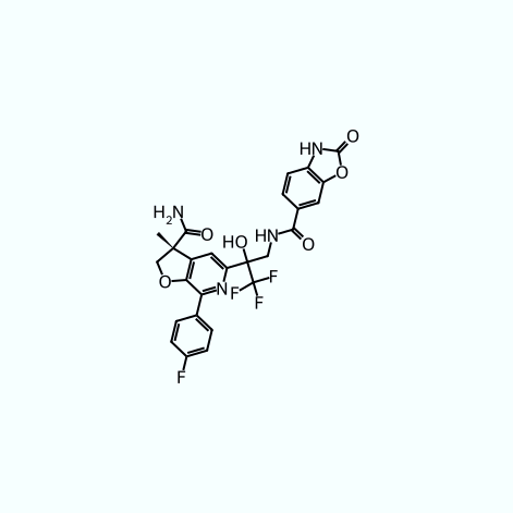 C[C@]1(C(N)=O)COc2c1cc(C(O)(CNC(=O)c1ccc3[nH]c(=O)oc3c1)C(F)(F)F)nc2-c1ccc(F)cc1